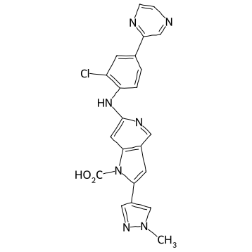 Cn1cc(-c2cc3cnc(Nc4ccc(-c5cnccn5)cc4Cl)cc3n2C(=O)O)cn1